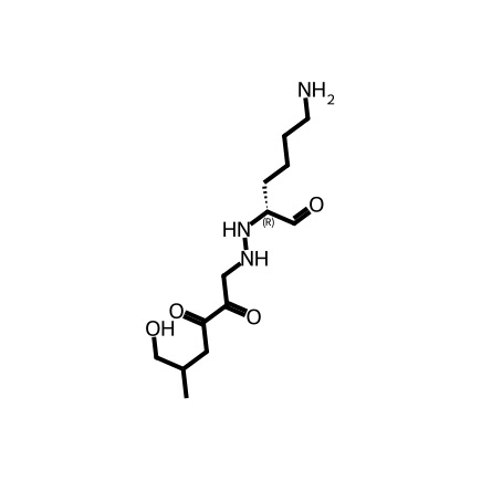 CC(CO)CC(=O)C(=O)CNN[C@@H](C=O)CCCCN